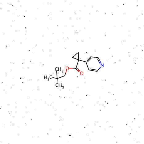 CC(C)(C)COC(=O)C1(c2ccncc2)CC1